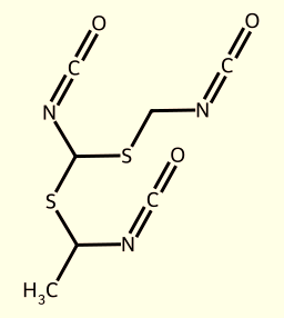 CC(N=C=O)SC(N=C=O)SCN=C=O